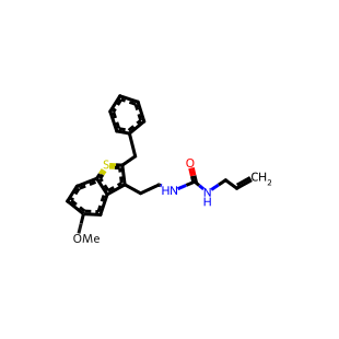 C=CCNC(=O)NCCc1c(Cc2ccccc2)sc2ccc(OC)cc12